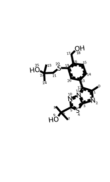 Cc1nc2sc(C(C)(C)O)nn2c1-c1ccc(CO)c(SCC(C)(C)O)c1